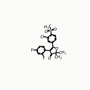 CC1(C)OC(c2ccc(S(C)(=O)=O)c(Cl)c2)=C(c2ccc(F)cc2F)C1=O